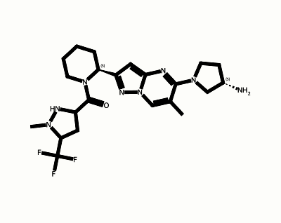 Cc1cn2nc([C@@H]3CCCCN3C(=O)C3CC(C(F)(F)F)N(C)N3)cc2nc1N1CC[C@H](N)C1